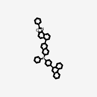 c1ccc(-c2nc3c(ccc4c(-c5ccc6cc(N(c7ccccc7)c7ccc(-c8cc9ccccc9c9ccccc89)cc7)ccc6c5)cccc43)o2)cc1